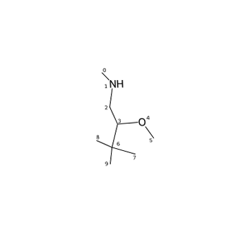 CNCC(OC)C(C)(C)C